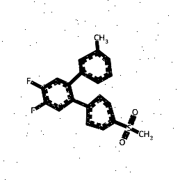 Cc1cccc(-c2cc(F)c(F)cc2-c2ccc(S(C)(=O)=O)cc2)c1